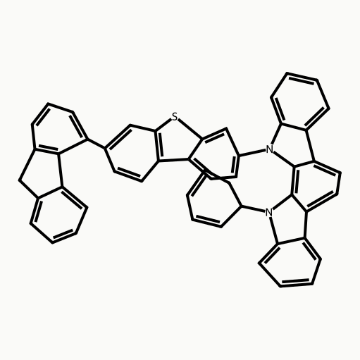 C1=CCC(n2c3ccccc3c3ccc4c5ccccc5n(-c5ccc6c(c5)sc5cc(-c7cccc8c7-c7ccccc7C8)ccc56)c4c32)C=C1